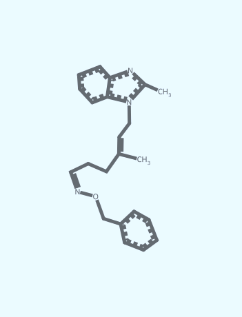 C/C(=C\Cn1c(C)nc2ccccc21)CC/C=N\OCc1ccccc1